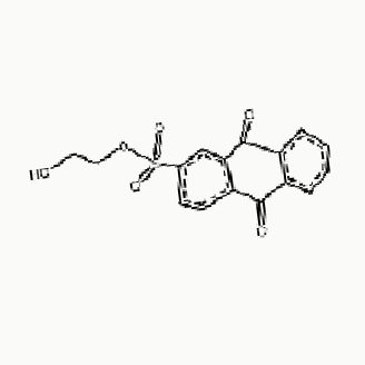 O=C1c2ccccc2C(=O)c2cc(S(=O)(=O)OCCO)ccc21